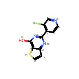 Oc1nc(-c2ccncc2F)nc2ccsc12